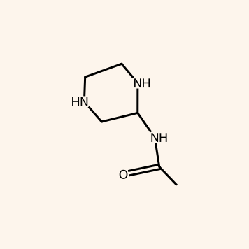 CC(=O)NC1CNCCN1